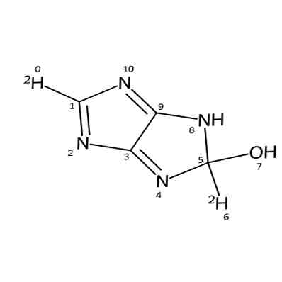 [2H]C1=NC2=NC([2H])(O)NC2=N1